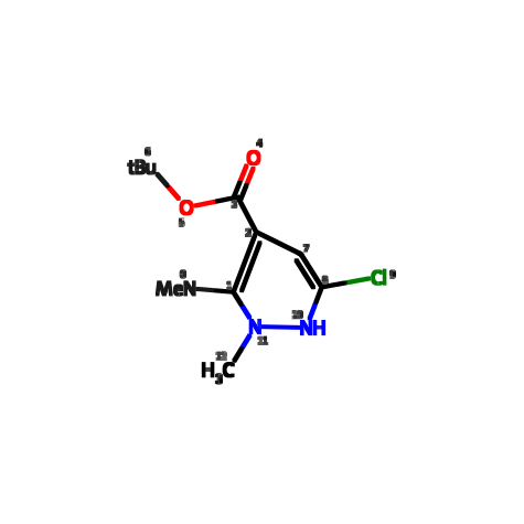 CNC1=C(C(=O)OC(C)(C)C)C=C(Cl)NN1C